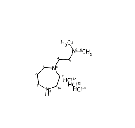 CN(C)CCN1CCCNCC1.Cl.Cl.Cl